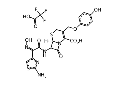 Nc1nc(/C(=N/O)C(=O)NC2C(=O)N3C(C(=O)O)=C(COc4ccc(O)cc4)CS[C@H]23)cs1.O=C(O)C(F)(F)F